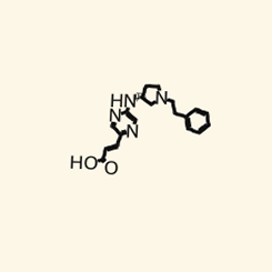 O=C(O)C=Cc1cnc(N[C@@H]2CCN(CCc3ccccc3)C2)cn1